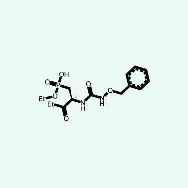 CCOP(=O)(O)C[C@@H](NC(=O)NOCc1ccccc1)C(=O)CC